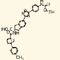 Cc1ccc(-c2ccc(C(=O)NC3(C(=O)O)Cc4ccc(-c5noc(-c6ccc(NC(=O)OC(C)(C)C)cc6)n5)cc4C3)o2)cc1